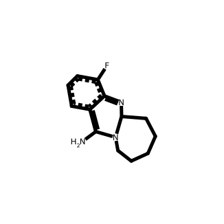 NC1=c2cccc(F)c2=NC2CCCCCN12